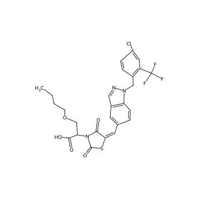 CCCCOCC(C(=O)O)N1C(=O)SC(=Cc2ccc3c(cnn3Cc3ccc(Cl)cc3C(F)(F)F)c2)C1=O